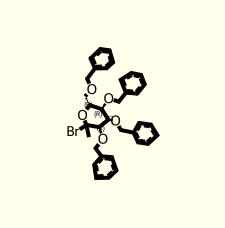 CC1(Br)O[C@H](COCc2ccccc2)[C@@H](OCc2ccccc2)[C@H](OCc2ccccc2)[C@H]1OCc1ccccc1